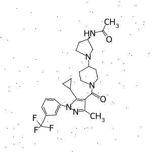 CC(=O)N[C@@H]1CCN(C2CCN(C(=O)c3c(C)nn(-c4cccc(C(F)(F)F)c4)c3C3CC3)CC2)C1